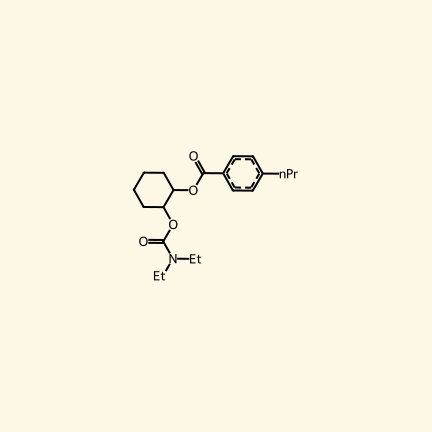 CCCc1ccc(C(=O)OC2CCCCC2OC(=O)N(CC)CC)cc1